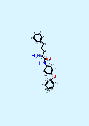 N[C@@H](CCCc1ccccc1)C(=O)Nc1ccc(Oc2ccc(F)cc2)cc1